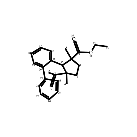 C=C(C)C1(C)CCC(C)(C(=O)OCC)C1c1ccccc1-c1ccccc1